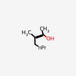 CCCCC(C)=C(C)O